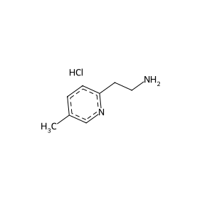 Cc1ccc(CCN)nc1.Cl